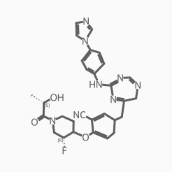 C[C@H](O)C(=O)N1CCC(OC2=CCC(CC3=NC(Nc4ccc(-n5ccnc5)cc4)=NC=NC3)C=C2C#N)[C@H](F)C1